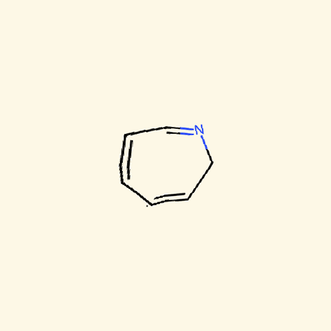 [C]1=CCN=CC=C1